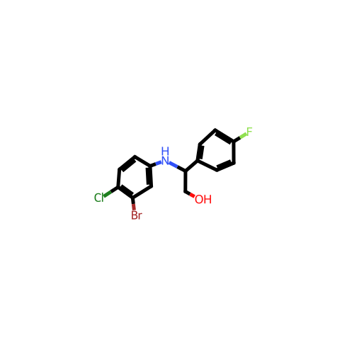 OCC(Nc1ccc(Cl)c(Br)c1)c1ccc(F)cc1